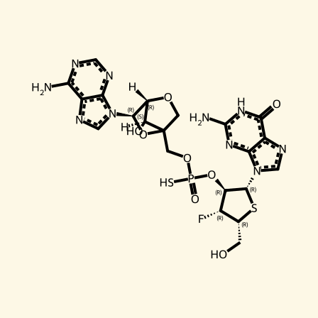 Nc1nc2c(ncn2[C@@H]2S[C@H](CO)[C@H](F)[C@H]2OP(=O)(S)OCC23CO[C@@H]([C@H](n4cnc5c(N)ncnc54)O2)[C@@H]3O)c(=O)[nH]1